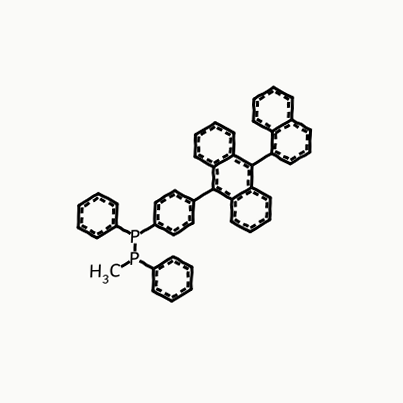 CP(c1ccccc1)P(c1ccccc1)c1ccc(-c2c3ccccc3c(-c3cccc4ccccc34)c3ccccc23)cc1